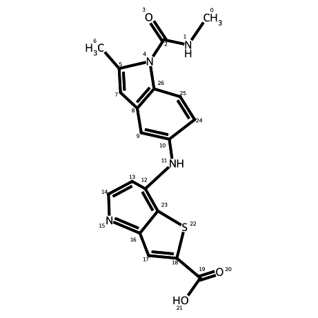 CNC(=O)n1c(C)cc2cc(Nc3ccnc4cc(C(=O)O)sc34)ccc21